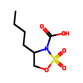 CCCCC1COS(=O)(=O)N1C(=O)O